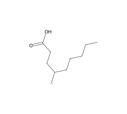 [CH2]C(CCCCC)CCC(=O)O